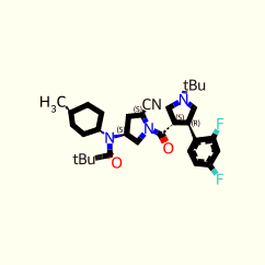 CC(C)(C)C(=O)N([C@H]1C[C@@H](C#N)N(C(=O)[C@@H]2CN(C(C)(C)C)C[C@H]2c2ccc(F)cc2F)C1)[C@H]1CC[C@@H](C)CC1